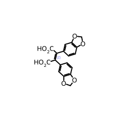 O=C(O)/C(=C(\C(=O)O)c1ccc2c(c1)OCO2)c1ccc2c(c1)OCO2